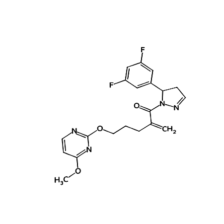 C=C(CCCOc1nccc(OC)n1)C(=O)N1N=CCC1c1cc(F)cc(F)c1